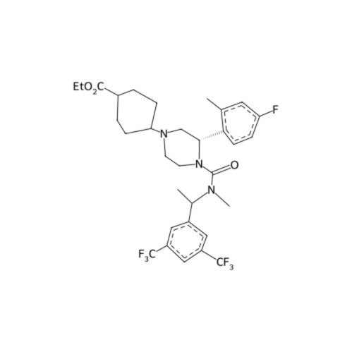 CCOC(=O)C1CCC(N2CCN(C(=O)N(C)C(C)c3cc(C(F)(F)F)cc(C(F)(F)F)c3)[C@@H](c3ccc(F)cc3C)C2)CC1